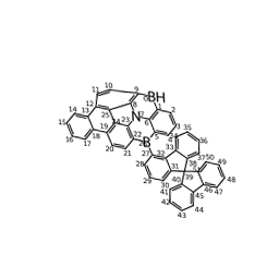 B1c2cccc3c2-n2c4c1ccc1c5ccccc5c5ccc(c2c5c14)B3c1cccc2c1-c1ccccc1C21c2ccccc2-c2ccccc21